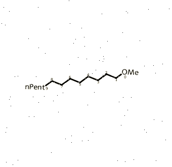 [CH2]OCCCCCCCCCCCCC